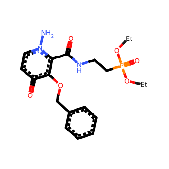 CCOP(=O)(CCNC(=O)c1c(OCc2ccccc2)c(=O)ccn1N)OCC